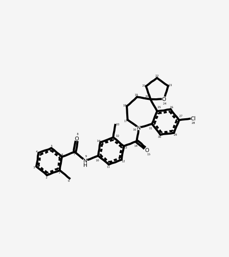 Cc1ccccc1C(=O)Nc1ccc(C(=O)N2CCCC3(CCCO3)c3cc(Cl)ccc32)c(C)c1